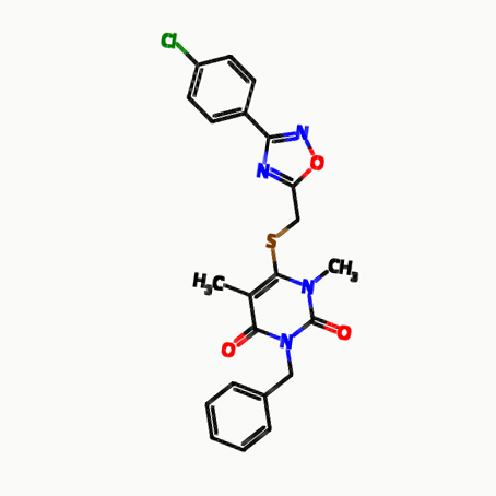 Cc1c(SCc2nc(-c3ccc(Cl)cc3)no2)n(C)c(=O)n(Cc2ccccc2)c1=O